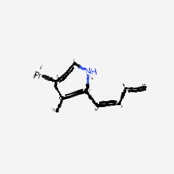 C=C/C=C\c1[nH]cc(C(C)C)c1C